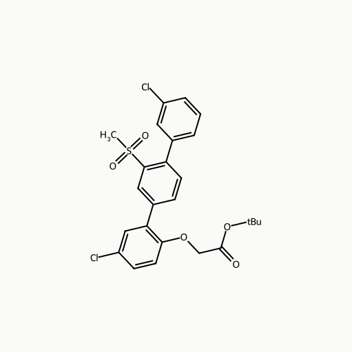 CC(C)(C)OC(=O)COc1ccc(Cl)cc1-c1ccc(-c2cccc(Cl)c2)c(S(C)(=O)=O)c1